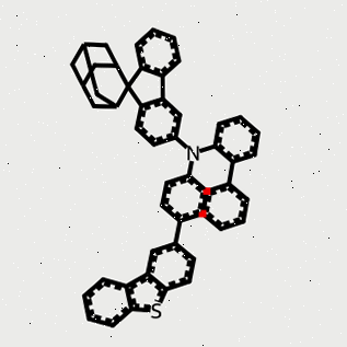 c1ccc(-c2ccccc2N(c2ccc(-c3ccc4sc5ccccc5c4c3)cc2)c2ccc3c(c2)-c2ccccc2C32C3CC4CC(C3)CC2C4)cc1